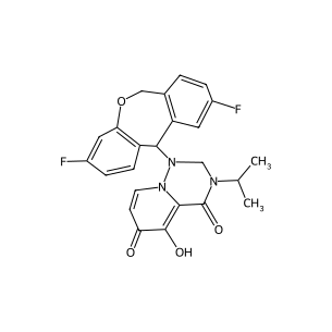 CC(C)N1CN(C2c3cc(F)ccc3COc3cc(F)ccc32)n2ccc(=O)c(O)c2C1=O